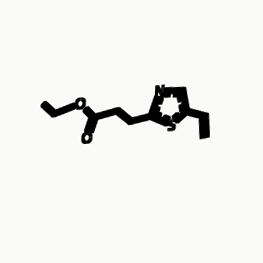 C=Cc1cnc(CCC(=O)OCC)s1